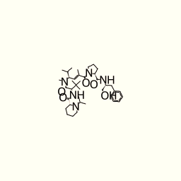 C/C(=C\[C@H](C(C)C)N(C)C(=O)[C@@H](NC(=O)[C@H]1CCCCN1C(C)C)C(C)(C)C)C(=O)N1CCC[C@H]1C(=O)N[C@H](CO)Cc1ccccc1